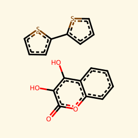 O=c1oc2ccccc2c(O)c1O.c1csc(-c2cccs2)c1